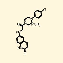 C[C@@H]1CN(C(=O)CNc2ccc3[nH]c(=O)ccc3c2)CCN1c1ccc(Cl)cc1